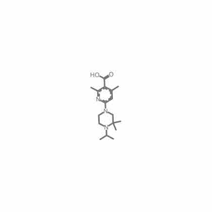 Cc1cc(N2CCN(C(C)C)C(C)(C)C2)nc(C)c1C(=O)O